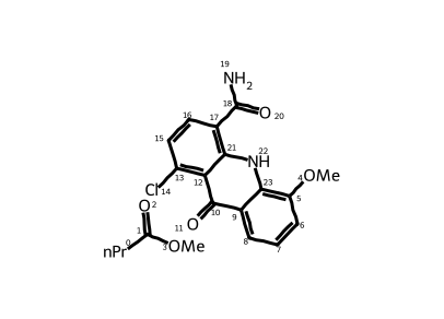 CCCC(=O)OC.COc1cccc2c(=O)c3c(Cl)ccc(C(N)=O)c3[nH]c12